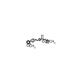 CCc1c(Cl)cccc1N1CCN(CCC2CC(NC(=O)Cc3cc(C)no3)C2)CC1